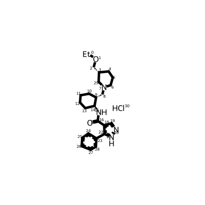 CCOC[C@@H]1CCCN(C[C@H]2CCCC[C@@H]2NC(=O)c2cn[nH]c2-c2ccccc2)C1.Cl